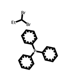 CCC(Br)Br.c1ccc(P(c2ccccc2)c2ccccc2)cc1